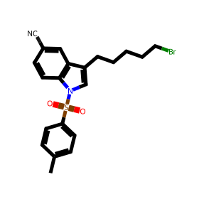 Cc1ccc(S(=O)(=O)n2cc(CCCCCBr)c3cc(C#N)ccc32)cc1